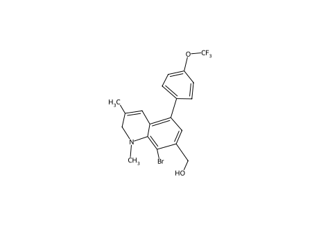 CC1=Cc2c(-c3ccc(OC(F)(F)F)cc3)cc(CO)c(Br)c2N(C)C1